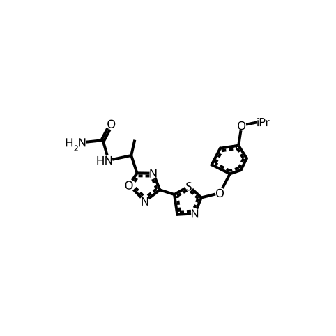 CC(C)Oc1ccc(Oc2ncc(-c3noc(C(C)NC(N)=O)n3)s2)cc1